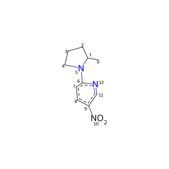 CC1CCCN1c1ccc([N+](=O)[O-])cn1